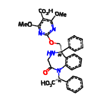 COc1nc(OC[C@@]2(c3ccccc3)NCC(=O)N([C@@H](C(=O)O)c3ccccc3)c3ccccc32)nc(OC)c1C(=O)O